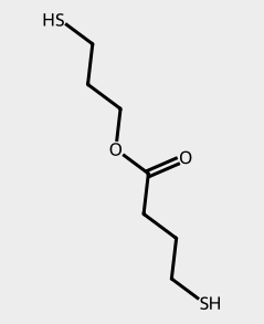 O=C(CCCS)OCCCS